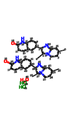 Cc1ccn2c(C)c(-c3ccc4[nH]c(=O)ccc4c3)nc2c1.Cc1ccn2c(C)c(-c3ccc4[nH]c(=O)ccc4c3)nc2c1.Cl.Cl.O